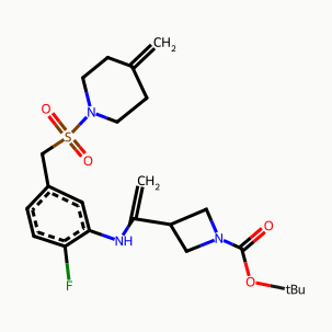 C=C1CCN(S(=O)(=O)Cc2ccc(F)c(NC(=C)C3CN(C(=O)OC(C)(C)C)C3)c2)CC1